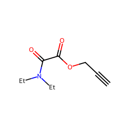 C#CCOC(=O)C(=O)N(CC)CC